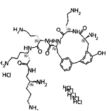 Cl.Cl.Cl.Cl.Cl.Cl.NCCC[C@H](N)CNC(=O)C[C@H](CCCN)NC(=O)[C@H](CCCN)NC(=O)[C@@H]1Cc2cccc(c2)-c2ccc(O)c(c2)C[C@H](N)C(=O)N[C@@H](CCCN)C(=O)N1